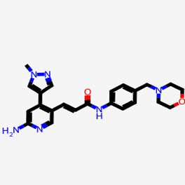 Cn1cc(-c2cc(N)ncc2C=CC(=O)Nc2ccc(CN3CCOCC3)cc2)cn1